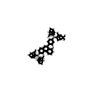 CC1C(B(c2ccc3c(c2)Sc2cccc4c2c-3cc2ccc(B(C3CC5CC(C3C)C5(C)C)C3CC5CC(C3C)C5(C)C)cc24)C2CC3CC(C2C)C3(C)C)CC2CC1C2(C)C